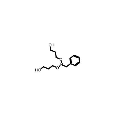 OCCCON(Cc1ccccc1)OCCCO